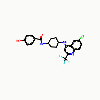 O=C(NC1CCC(Nc2cc(C(F)(F)F)nc3ccc(Cl)cc23)CC1)c1ccc(O)cc1